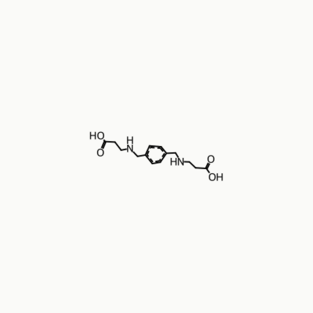 O=C(O)CCNCc1ccc(CNCCC(=O)O)cc1